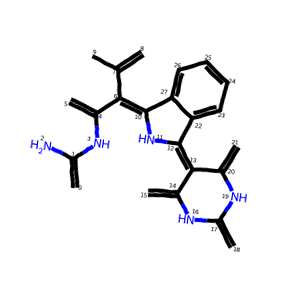 C=C(N)NC(=C)/C(C(=C)C)=c1\[nH]c(=C2C(=C)NC(=C)NC2=C)c2ccccc12